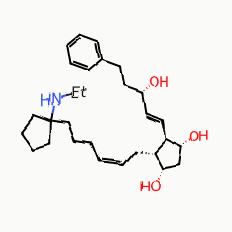 CCNC1(CCC/C=C\C[C@@H]2[C@@H](/C=C/[C@@H](O)CCc3ccccc3)[C@H](O)C[C@@H]2O)CCCC1